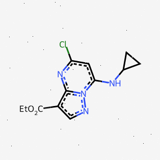 CCOC(=O)c1cnn2c(NC3CC3)cc(Cl)nc12